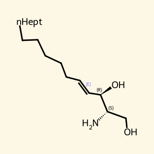 CCCCCCCCCCCC/C=C/[C@@H](O)[C@@H](N)CO